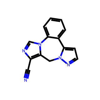 N#Cc1ncn2c1Cn1nccc1-c1ccccc1-2